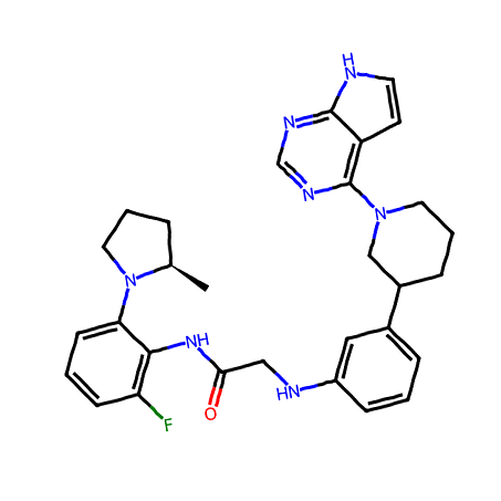 C[C@@H]1CCCN1c1cccc(F)c1NC(=O)CNc1cccc(C2CCCN(c3ncnc4[nH]ccc34)C2)c1